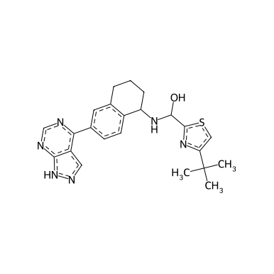 CC(C)(C)c1csc(C(O)NC2CCCc3cc(-c4ncnc5[nH]ncc45)ccc32)n1